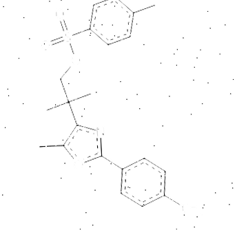 Cc1ccc(S(=O)(=O)OCC(C)(C)c2nc(-c3ccc(C(F)(F)F)cc3)oc2C)cc1